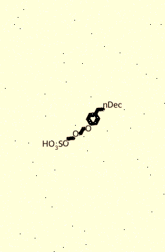 CCCCCCCCCCCCc1ccc(OCCOCCOS(=O)(=O)O)cc1